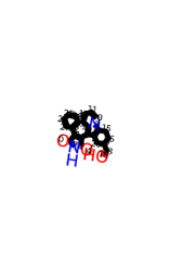 O=C1NC(=O)C(c2c3c(n4ccccc24)CCC(CO)C3)=C1c1ccccc1